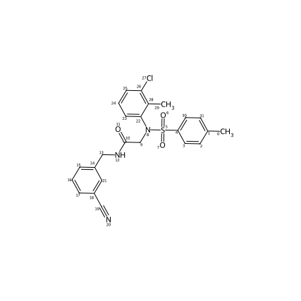 Cc1ccc(S(=O)(=O)N(CC(=O)NCc2cccc(C#N)c2)c2cccc(Cl)c2C)cc1